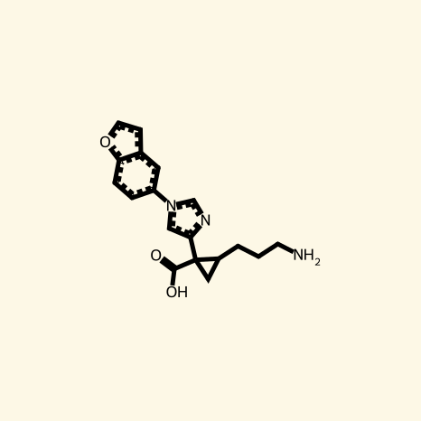 NCCCC1CC1(C(=O)O)c1cn(-c2ccc3occc3c2)cn1